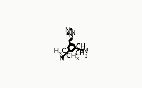 CC(C)(C#N)c1cc(C=Cn2cncn2)cc(C(C)(C)C#N)c1